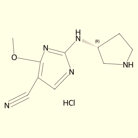 COc1nc(N[C@@H]2CCNC2)ncc1C#N.Cl